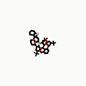 CC(C)(C)c1cc(-c2cccc3cccc(-c4ccccc4N(c4ccc5c(c4)oc4ccccc45)c4ccc(C(C)(C)C)cc4-c4ccccc4)c23)cc(C(C)(C)C)c1